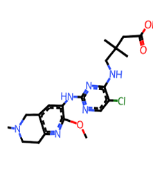 COc1nc2c(cc1Nc1ncc(Cl)c(NCC(C)(C)CC(=O)O)n1)CN(C)CC2